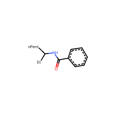 CCCCCC(CC)NC(=O)c1ccccc1